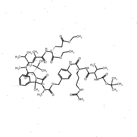 CCOC(=O)CC[C@@H](NC(=O)/C(C)=C/C(C(C)C)N(C)C(=O)[C@@H](N1C(=O)[C@@H](N(C)C(=O)OCc2ccc(NC(=O)[C@H](CCCNC(N)=O)NC(=O)C(NC(=O)OC(C)(C)C)C(C)C)cc2)C1(C)c1ccccc1)C(C)(C)C)C(=O)OCC